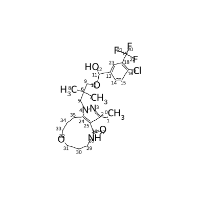 CCc1nn(CC(C)(C)COC(O)c2ccc(Cl)c(C(F)(F)F)c2)c2c1C(=O)NCCCOCCC2